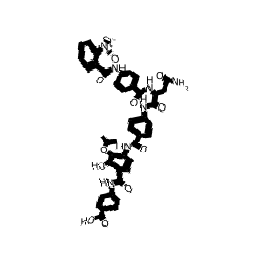 CC(C)Oc1c(NC(=O)c2ccc(NC(=O)C(CC(N)=O)NC(=O)c3ccc(NC(=O)c4ccccc4[N+](=O)[O-])cc3)cc2)ccc(C(=O)Nc2ccc(C(=O)O)cc2)c1O